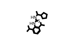 CC(C)c1cccc(C(C)C)c1NC(=S)NC(C)C1CCCC1